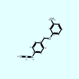 Cc1cccc(OCc2ccc(N=C=O)cc2)c1